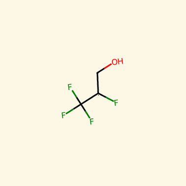 OC[C](F)C(F)(F)F